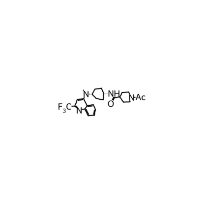 CC(=O)N1CCC(C(=O)N[C@H]2CC[C@@H](N(C)c3cc(C(F)(F)F)nc4ccccc34)CC2)CC1